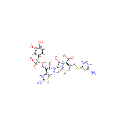 Nc1cc(SCC2=C(C(=O)O)N3C(=O)C(NC(=O)/C(=N\O[C@H](C(=O)O)c4ccc(O)c(O)c4)c4csc(N)n4)[C@H]3SC2)ncn1